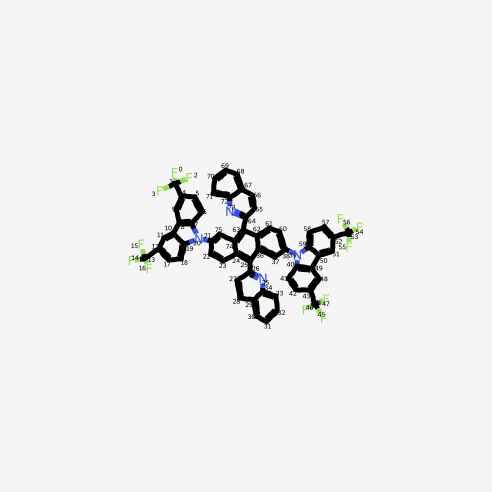 FC(F)(F)c1ccc2c(c1)c1cc(C(F)(F)F)ccc1n2-c1ccc2c(-c3ccc4ccccc4n3)c3cc(-n4c5ccc(C(F)(F)F)cc5c5cc(C(F)(F)F)ccc54)ccc3c(-c3ccc4ccccc4n3)c2c1